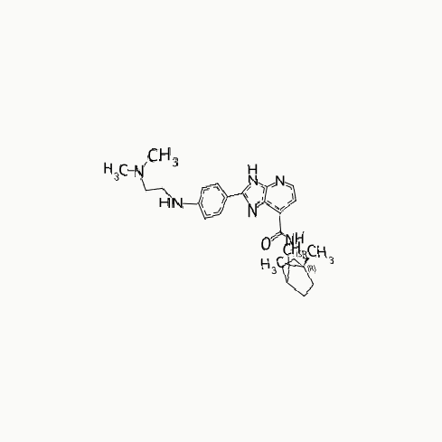 CN(C)CCNc1ccc(-c2nc3c(C(=O)N[C@H]4CC5CC[C@]4(C)C5(C)C)ccnc3[nH]2)cc1